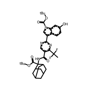 CC(C)(C)OC(=O)n1cc(-c2ncc(C(=O)NC3(C(=O)OC(C)(C)C)C4CC5CC(C4)CC3C5)c(C(C)(F)F)n2)c2ccc(O)cc21